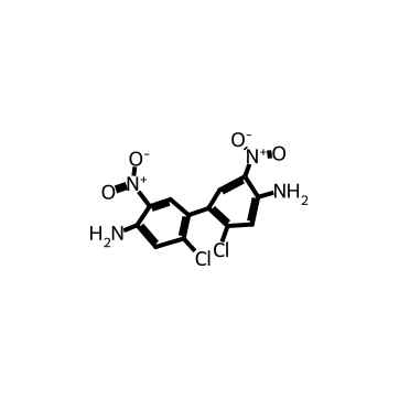 Nc1cc(Cl)c(-c2cc([N+](=O)[O-])c(N)cc2Cl)cc1[N+](=O)[O-]